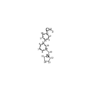 Cc1ccc(-c2cccc(CN3CCCC3)c2)cc1